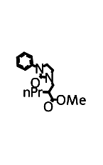 CCCC(CN1CCN(c2ccccc2)C1=O)C(=O)OC